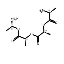 C[C@H](N)C(=O)O[C@@H](C)C(=O)O[C@@H](C)C(=O)O[C@@H](C)C(=O)O